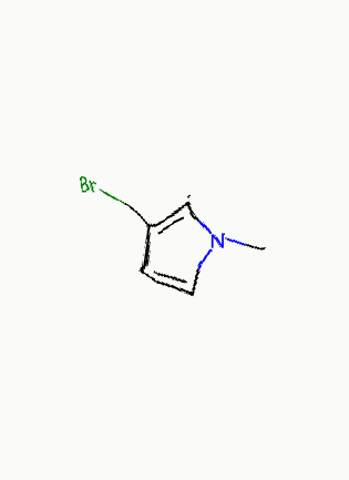 Cn1[c]c(Br)cc1